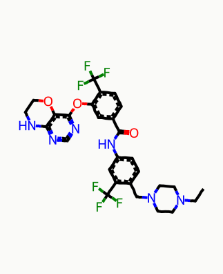 CCN1CCN(Cc2ccc(NC(=O)c3ccc(C(F)(F)F)c(Oc4ncnc5c4OCCN5)c3)cc2C(F)(F)F)CC1